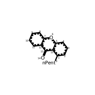 CCCCCc1cccc2oc3ccccc3c(=O)c12